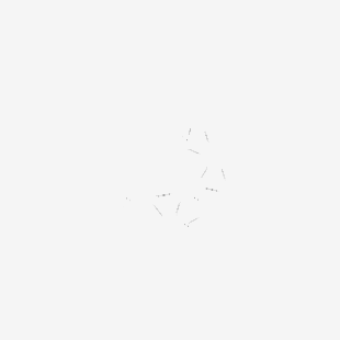 NCc1ccc2c(c1)ncn2-c1cccc(-c2ccc(F)nc2)c1